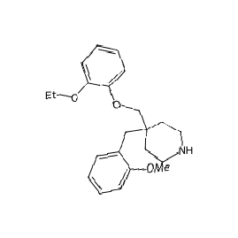 CCOc1ccccc1OCC1(Cc2ccccc2OC)CCNCC1